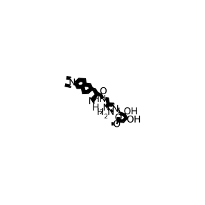 CCN(CC)c1ccc2cc(/C=C(\C#N)C(=O)NC/C(N)=C/N(N)C[C@H]3O[C@H](OC)C[C@@H](O)[C@@H]3O)ccc2c1